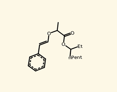 CCCCCC(CC)OC(=O)C(C)OC=Cc1ccccc1